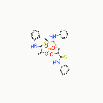 C=C(OP(=O)(OC(=C)C(=S)Nc1ccccc1)OC(=C)C(=S)Nc1ccccc1)C(=S)Nc1ccccc1